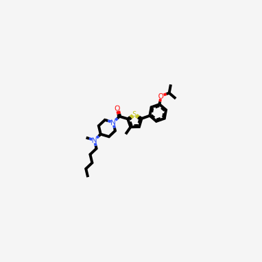 CCCCCN(C)C1CCN(C(=O)c2sc(-c3cccc(OC(C)C)c3)cc2C)CC1